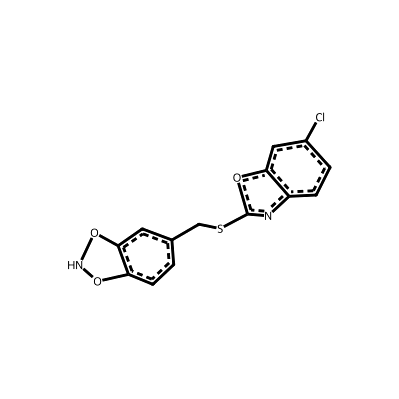 Clc1ccc2nc(SCc3ccc4c(c3)ONO4)oc2c1